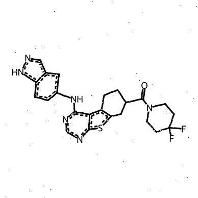 O=C(C1CCc2c(sc3ncnc(Nc4ccc5[nH]ncc5c4)c23)C1)N1CCC(F)(F)CC1